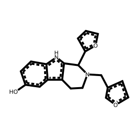 Oc1ccc2[nH]c3c(c2c1)CCN(Cc1ccoc1)C3c1ccco1